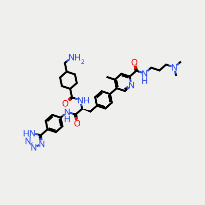 Cc1cc(C(=O)NCCCN(C)C)ncc1-c1ccc(C[C@H](NC(=O)C2CCC(CN)CC2)C(=O)Nc2ccc(-c3nnn[nH]3)cc2)cc1